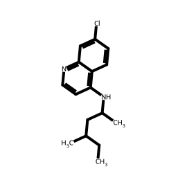 CCC(C)CC(C)Nc1ccnc2cc(Cl)ccc12